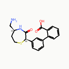 NC[C@@H]1CCS[C@H](c2cccc(-c3ccccc3C(=O)O)c2)C(=O)N1